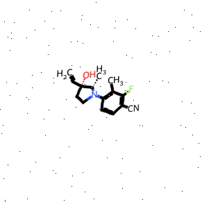 C=C[C@]1(O)CCN(c2ccc(C#N)c(F)c2C)[C@H]1C